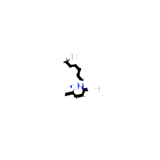 C=C(/C=C\C(C)=C/C)N/C=C/C=C\C=C/C